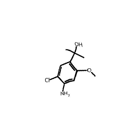 COc1cc(N)c(Cl)cc1C(C)(C)O